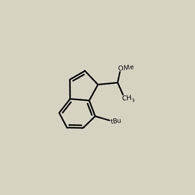 COC(C)C1C=Cc2cccc(C(C)(C)C)c21